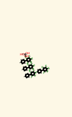 Fc1c(F)c(F)c(-c2ccccc2)c(F)c1F.Fc1c(F)c(F)c(-c2ccccc2)c(F)c1F.Fc1c(F)c(F)c(-c2ccccc2)c(F)c1F.Fc1c(F)c(F)c(-c2ccccc2)c(F)c1F.OB(O)O